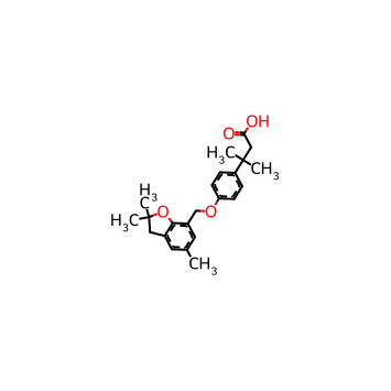 Cc1cc(COc2ccc(C(C)(C)CC(=O)O)cc2)c2c(c1)CC(C)(C)O2